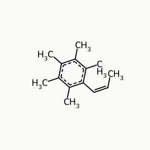 C/C=C\c1c(C)c(C)c(C)c(C)c1C